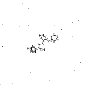 OC(CCc1c[nH]cc1Cc1ccncc1)c1nn[nH]n1